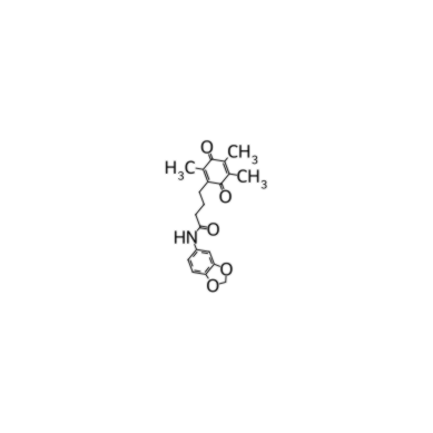 CC1=C(C)C(=O)C(CCCC(=O)Nc2ccc3c(c2)OCO3)=C(C)C1=O